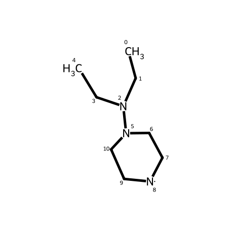 CCN(CC)N1CC[N]CC1